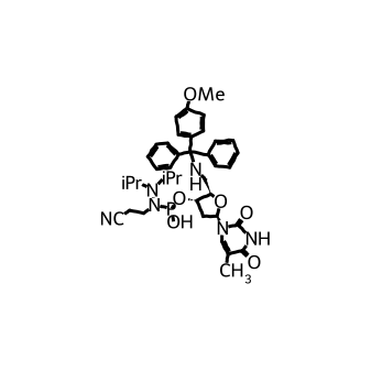 COc1ccc(C(NC[C@H]2O[C@@H](n3cc(C)c(=O)[nH]c3=O)C[C@@H]2OP(O)N(CCC#N)N(C(C)C)C(C)C)(c2ccccc2)c2ccccc2)cc1